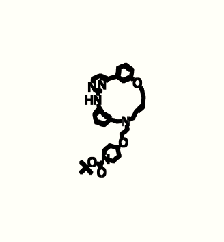 CC(C)(C)OC(=O)N1CCC(OCCN2C/C=C/CCOc3cccc(c3)-c3ccnc(n3)Nc3cccc(c3)C2)CC1